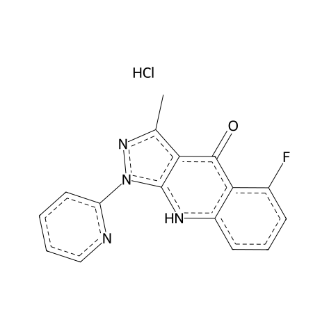 Cc1nn(-c2ccccn2)c2[nH]c3cccc(F)c3c(=O)c12.Cl